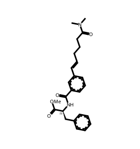 COC(=O)[C@H](Cc1ccccc1)NC(=O)c1cccc(C=CCCCC(=O)N(C)C)c1